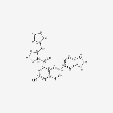 O=C(c1cc(Cl)nc2ccc(-c3ccc4c(c3)OCO4)cc12)N1CCCC1CN1CCCC1